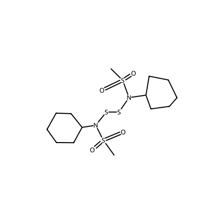 CS(=O)(=O)N(SSN(C1CCCCC1)S(C)(=O)=O)C1CCCCC1